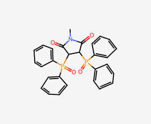 CN1C(=O)C(P(=O)(c2ccccc2)c2ccccc2)C(P(=O)(c2ccccc2)c2ccccc2)C1=O